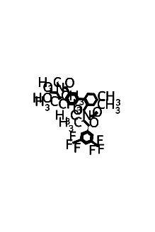 COc1ccc(C(=O)N(C)C(C(=O)O)C(C)(C)C)cc1C1=C(CN2C(=O)O[C@H](c3cc(C(F)(F)F)cc(C(F)(F)F)c3)[C@@H]2C)CC(C)(C)CC1